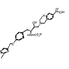 Cc1nc(COc2ccc(C[C@H](NC(=O)O)[C@@H](O)CN(Cc3ccc(NO)cc3)CC(C)C)cc2)cs1